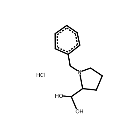 Cl.OC(O)C1CCCN1Cc1ccccc1